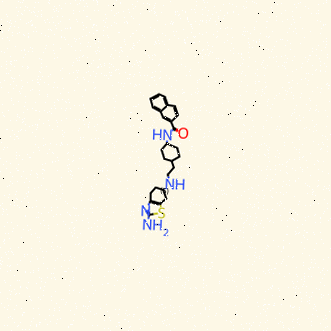 Nc1nc2c(s1)C[C@@H](NCCC1CCC(NC(=O)c3ccc4ccccc4c3)CC1)CC2